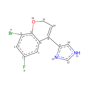 Fc1cc(Br)c2c(c1)C(c1c[nH]cn1)=CCO2